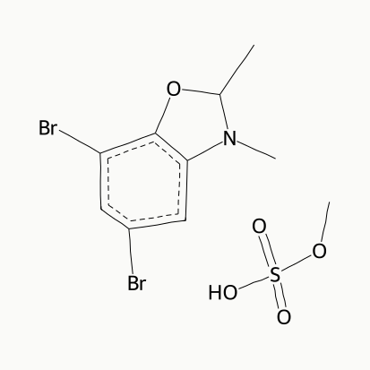 CC1Oc2c(Br)cc(Br)cc2N1C.COS(=O)(=O)O